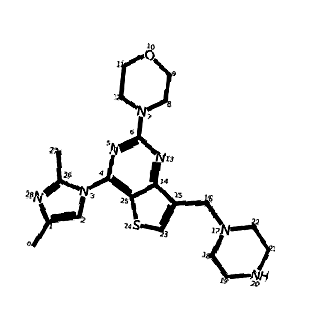 Cc1cn(-c2nc(N3CCOCC3)nc3c(CN4CCNCC4)csc23)c(C)n1